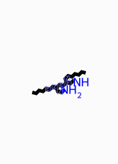 CCCC/C=C/C=C(\C=C/N)/C=C/C(/C=C\CCCCC)=C/C=N